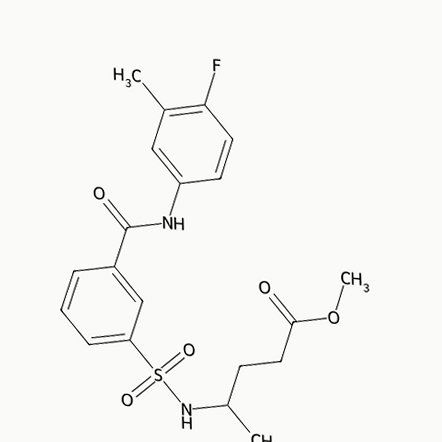 COC(=O)CCC(C)NS(=O)(=O)c1cccc(C(=O)Nc2ccc(F)c(C)c2)c1